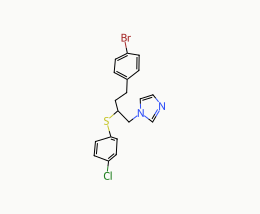 Clc1ccc(SC(CCc2ccc(Br)cc2)Cn2ccnc2)cc1